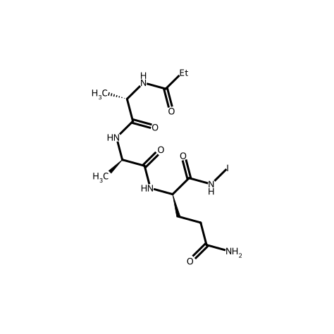 CCC(=O)N[C@@H](C)C(=O)N[C@H](C)C(=O)N[C@H](CCC(N)=O)C(=O)NI